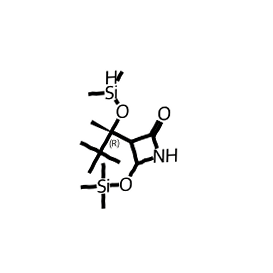 C[SiH](C)O[C@](C)(C1C(=O)NC1O[Si](C)(C)C)C(C)(C)C